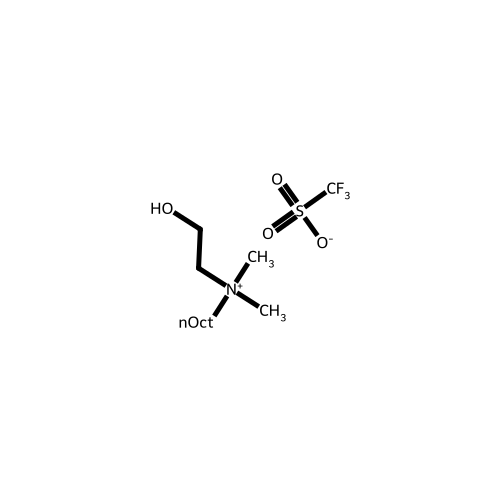 CCCCCCCC[N+](C)(C)CCO.O=S(=O)([O-])C(F)(F)F